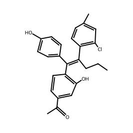 CCC/C(=C(/c1ccc(O)cc1)c1ccc(C(C)=O)cc1O)c1ccc(C)cc1Cl